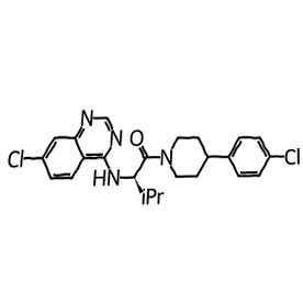 CC(C)[C@@H](Nc1ncnc2cc(Cl)ccc12)C(=O)N1CCC(c2ccc(Cl)cc2)CC1